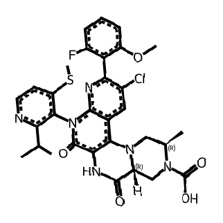 COc1cccc(F)c1-c1nc2c(cc1Cl)c1c(c(=O)n2-c2c(SC)ccnc2C(C)C)NC(=O)[C@H]2CN(C(=O)O)[C@H](C)CN12